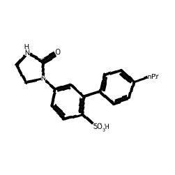 CCCc1ccc(-c2cc(N3CCNC3=O)ccc2S(=O)(=O)O)cc1